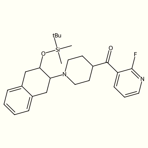 CC(C)(C)[Si](C)(C)OC1Cc2ccccc2CC1N1CCC(C(=O)c2cccnc2F)CC1